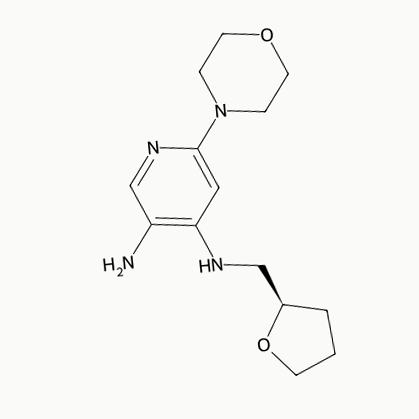 Nc1cnc(N2CCOCC2)cc1NC[C@H]1CCCO1